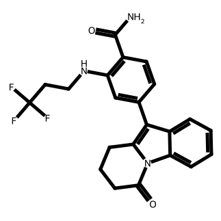 NC(=O)c1ccc(-c2c3n(c4ccccc24)C(=O)CCC3)cc1NCCC(F)(F)F